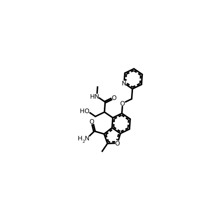 CNC(=O)C(CO)c1c(OCc2ccccn2)ccc2oc(C)c(C(N)=O)c12